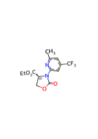 CCOC(=O)[C@@H]1COC(=O)N1c1cc(C(F)(F)F)cc(C)n1